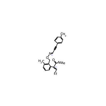 CC/C=C(/C(=O)NC)c1cccc(C)c1CO/N=C/C#Cc1ccc(C)cc1